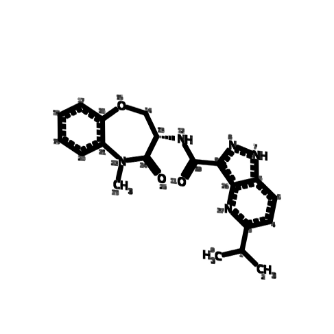 CC(C)c1ccc2[nH]nc(C(=O)N[C@H]3COc4ccccc4N(C)C3=O)c2n1